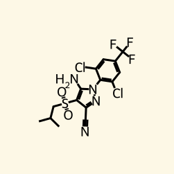 CC(C)CS(=O)(=O)c1c(C#N)nn(-c2c(Cl)cc(C(F)(F)F)cc2Cl)c1N